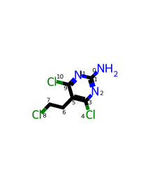 Nc1nc(Cl)c(CCCl)c(Cl)n1